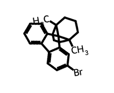 CC12CCCC(C)(CCC1)C21c2ccccc2-c2ccc(Br)cc21